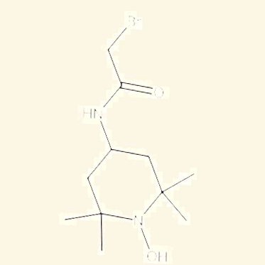 CC1(C)CC(NC(=O)CBr)CC(C)(C)N1O